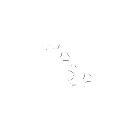 Cc1nnn(-c2ccccc2F)c1-c1cn(-c2ccc(C(=O)N3CC4(COC4)C3)cn2)cn1